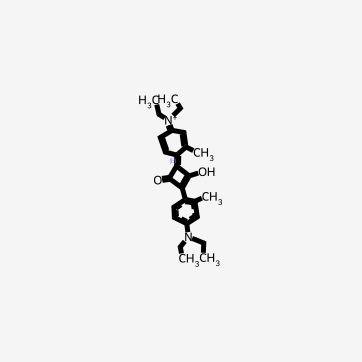 CCN(CC)c1ccc(C2=C(O)/C(=C3/C=CC(=[N+](CC)CC)C=C3C)C2=O)c(C)c1